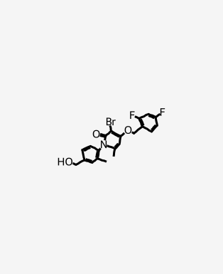 Cc1cc(CO)ccc1-n1c(C)cc(OCc2ccc(F)cc2F)c(Br)c1=O